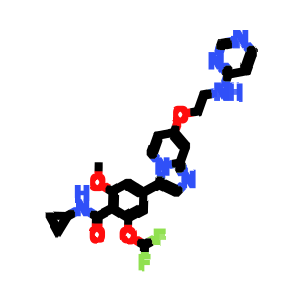 COc1cc(-c2cnc3cc(OCCNc4ccncn4)ccn23)cc(OC(F)F)c1C(=O)NC1CC1